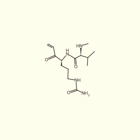 C=CC(=O)[C@H](CCCNC(N)=O)NC(=O)[C@@H](NC)C(C)C